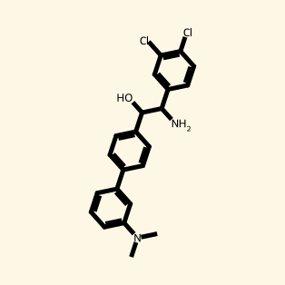 CN(C)c1cccc(-c2ccc(C(O)C(N)c3ccc(Cl)c(Cl)c3)cc2)c1